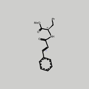 COC(=O)[C@@H](CC(C)C)NC(=O)/C=C/c1ccccc1